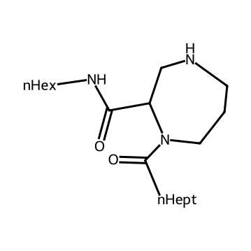 CCCCCCCC(=O)N1CCCNCC1C(=O)NCCCCCC